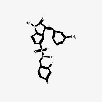 Bc1cccc(/C=C2/C(=O)N(C)c3ccc(S(=O)(=O)N(C)Cc4ccc(F)cc4F)cc32)c1